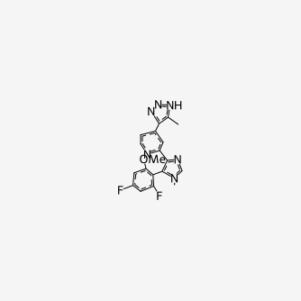 COc1cc(F)cc(F)c1-c1c(-c2cc(-c3nn[nH]c3C)ccn2)ncn1C